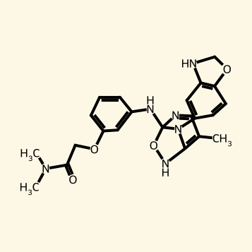 CC1=C2NOC(Nc3cccc(OCC(=O)N(C)C)c3)(N=C1)N2c1ccc2c(c1)NCO2